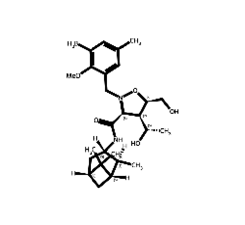 Bc1cc(C)cc(CN2O[C@@H](CO)[C@@H]([C@H](C)O)[C@H]2C(=O)N[C@H]2C[C@H]3C[C@@H]([C@@H]2C)C3(C)C)c1OC